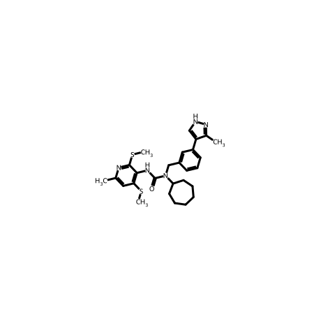 CSc1cc(C)nc(SC)c1NC(=O)N(Cc1cccc(-c2c[nH]nc2C)c1)C1CCCCCC1